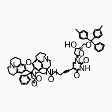 Cc1ccc(C(OC[C@H]2O[C@@H](n3cc(C#CCCC(=O)NCCN4C5(c6ccccc6S4(=O)=O)c4cc6c7c(c4Oc4c5cc5c8c4CCCN8CCC5)CCCN7CCC6)c(=O)[nH]c3=O)CC2O)(c2ccccc2)c2ccc(C)cc2)cc1